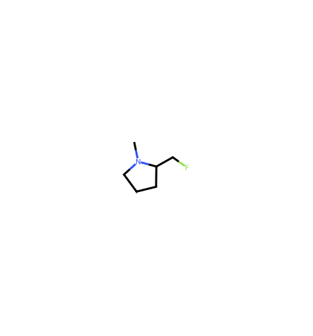 CN1C[CH]CC1CF